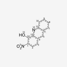 O=[N+]([O-])c1ccc2cc3ccccc3nc2c1O